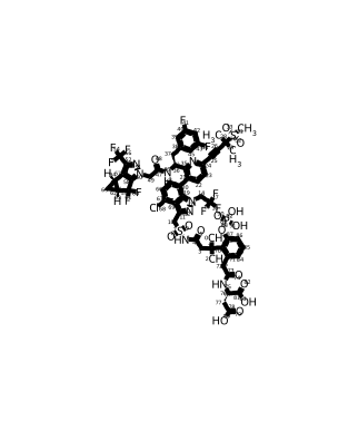 CC(C)(CC(=O)NS(=O)(=O)Cc1nn(CC(F)(F)F)c2c(-c3ccc(C#CC(C)(C)S(C)(=O)=O)nc3[C@H](Cc3cc(F)cc(F)c3)NC(=O)Cn3nc(C(F)(F)F)c4c3C(F)(F)[C@@H]3C[C@H]43)ccc(Cl)c12)c1c(CC(=O)N[C@@H](CC(=O)O)C(=O)O)cccc1OP(=O)(O)O